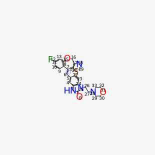 O=c1[nH]c2cc(/C=C3/c4ccc(F)cc4OCc4ncsc43)ccc2n1CCN1CCOCC1